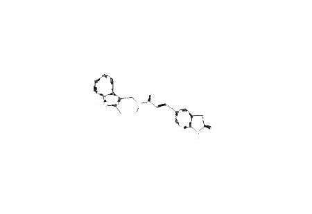 Cc1[nH]c2ccccc2c1CN(C)C(=O)C=Cc1cnc2c(c1)CC(=O)N2